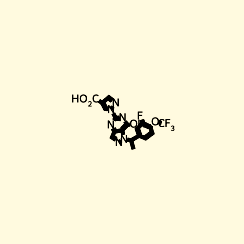 CC(c1ccc(OC(F)(F)F)c(F)c1)n1ncc2nc(-n3cc(C(=O)O)cn3)nc(O)c21